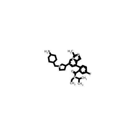 CCN(C(=O)c1cc(F)ccc1-c1cc(C2CCN(CC3CCC(N)CC3)C2)cn2c(C)ncc12)C(C)C